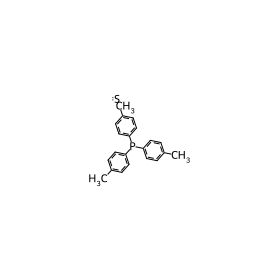 Cc1ccc(P(c2ccc(C)cc2)c2ccc(C)cc2)cc1.[S]